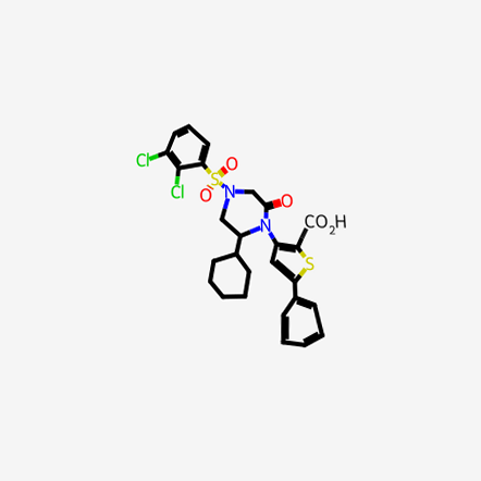 O=C(O)c1sc(-c2ccccc2)cc1N1C(=O)CN(S(=O)(=O)c2cccc(Cl)c2Cl)CC1C1CCCCC1